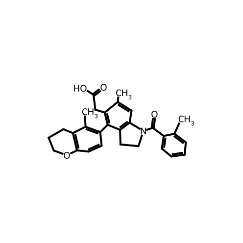 Cc1ccccc1C(=O)N1CCc2c1cc(C)c(CC(=O)O)c2-c1ccc2c(c1C)CCCO2